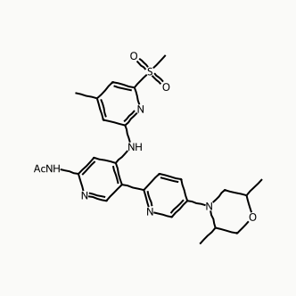 CC(=O)Nc1cc(Nc2cc(C)cc(S(C)(=O)=O)n2)c(-c2ccc(N3CC(C)OCC3C)cn2)cn1